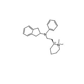 C[N+]1(C)CCCC[C@H]1CCN(c1ccccc1)C1Cc2ccccc2C1